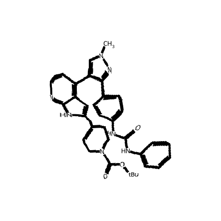 Cn1cc(-c2ccnc3[nH]c(C4=CCN(C(=O)OC(C)(C)C)CC4)cc23)c(-c2ccc(NC(=O)Nc3ccccc3)cc2)n1